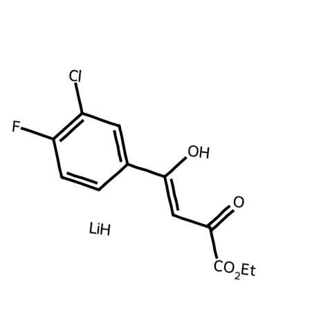 CCOC(=O)C(=O)C=C(O)c1ccc(F)c(Cl)c1.[LiH]